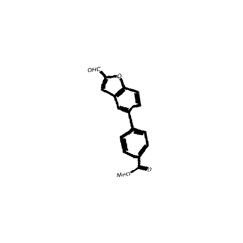 COC(=O)c1ccc(-c2ccc3oc(C=O)cc3c2)cc1